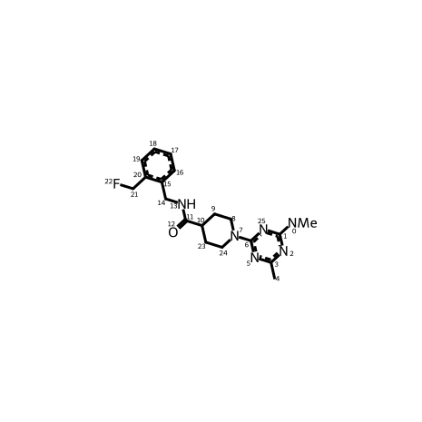 CNc1nc(C)nc(N2CCC(C(=O)NCc3ccccc3CF)CC2)n1